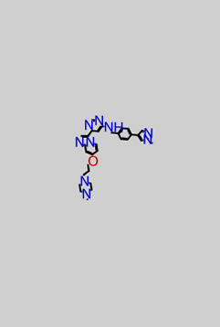 CN1CCN(CCCOc2ccn3c(-c4cc(NCc5ccc(-c6cnn(C)c6)cc5)ncn4)cnc3c2)CC1